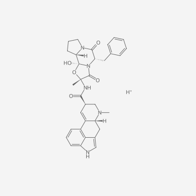 CN1C[C@H](C(=O)N[C@]2(C)O[C@@]3(O)[C@@H]4CCCN4C(=O)[C@H](Cc4ccccc4)N3C2=O)C=C2c3cccc4[nH]cc(c34)C[C@H]21.[H+]